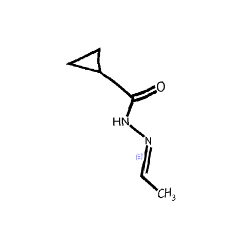 C/C=N/NC(=O)C1CC1